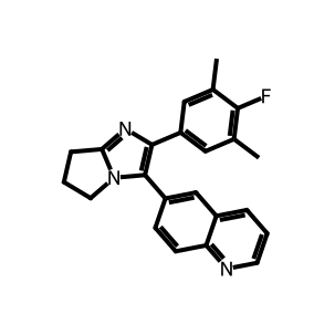 Cc1cc(-c2nc3n(c2-c2ccc4ncccc4c2)CCC3)cc(C)c1F